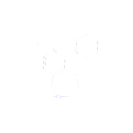 Cl.c1cc2c(c(N3CCCCC3)n1)OCCNC2